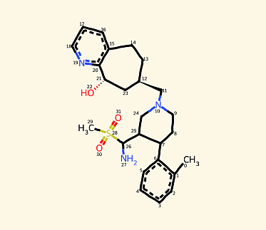 Cc1ccccc1C1CCN(C[C@@H]2CCc3cccnc3[C@@H](O)C2)CC1C(N)S(C)(=O)=O